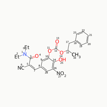 CCN(CC)C(=O)C(C#N)=Cc1cc(OC(=O)OC(C)Cc2ccccc2)c(O)c([N+](=O)[O-])c1